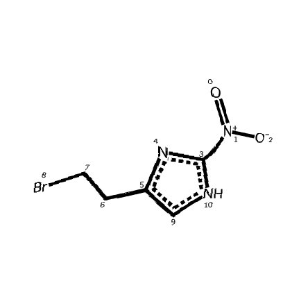 O=[N+]([O-])c1nc(CCBr)c[nH]1